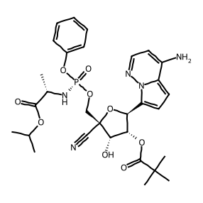 CC(C)OC(=O)[C@H](C)N[P@](=O)(OC[C@@]1(C#N)O[C@@H](c2ccc3c(N)ccnn23)[C@H](OC(=O)C(C)(C)C)[C@@H]1O)Oc1ccccc1